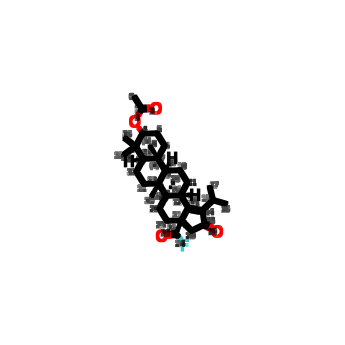 CC(=O)O[C@H]1CC[C@]2(C)[C@H]3CC[C@@H]4C5=C(C(C)C)C(=O)C[C@]5(C(=O)F)CC[C@@]4(C)[C@]3(C)CC[C@H]2C1(C)C